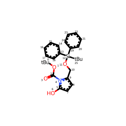 CC(C)(C)OC(=O)n1c(O)ccc1CO[Si](c1ccccc1)(c1ccccc1)C(C)(C)C